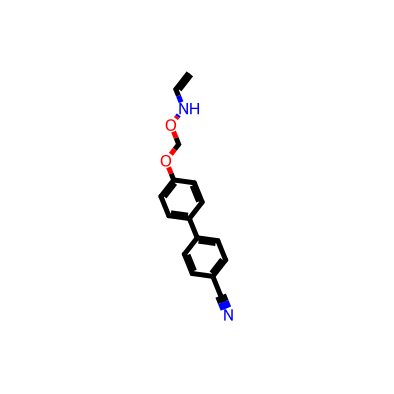 C=CNOCOc1ccc(-c2ccc(C#N)cc2)cc1